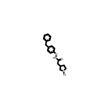 CCN1CCC(CC(=O)NOc2ccc(Cc3ccccc3)cc2)C1